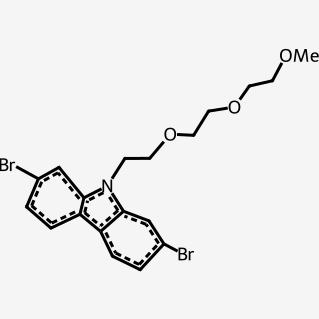 COCCOCCOCCn1c2cc(Br)ccc2c2ccc(Br)cc21